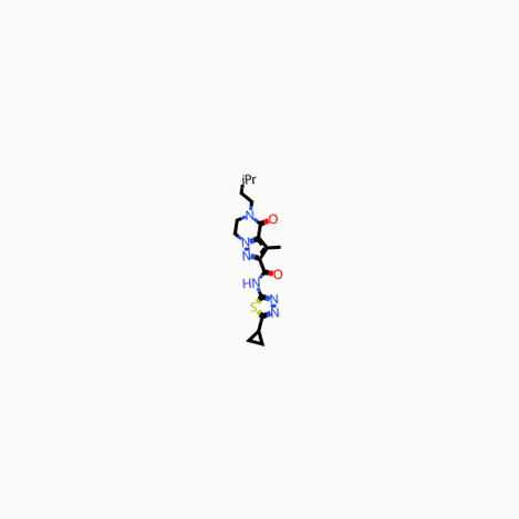 Cc1c(C(=O)Nc2nnc(C3CC3)s2)nn2c1C(=O)N(CCC(C)C)CC2